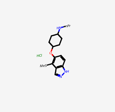 CCCNC1CCC(Oc2ccc3[nH]ncc3c2SC)CC1.Cl